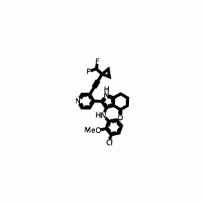 COc1c(Cl)cccc1Nc1c(-c2ccncc2C#CC2(C(F)F)CC2)[nH]c2c1C(=O)CCC2